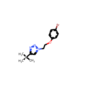 C[Si](C)(C)c1cn(CCOc2ccc(Br)cc2)nn1